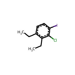 CCc1ccc(I)c(Cl)c1CC